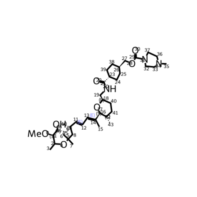 CO[C@H](C(C)OC(C)(C)C[C@H](C)/C=C/C=C(\C)[C@H]1O[C@@H](CNC(=O)[C@H]2CC[C@H](COC(=O)N3CCN(C)CC3)CC2)CC[C@@H]1C)[C@@H](C)O